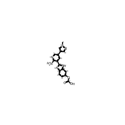 Cn1cc(-c2cnc(N)c(-c3nc4ccc(OC(=O)O)cc4[nH]3)c2)cn1